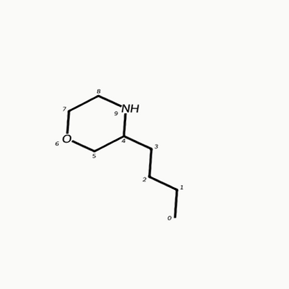 CCCCC1COCCN1